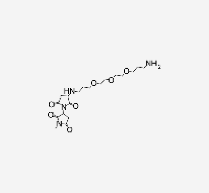 CN1C(=O)CC(N2C(=O)CC(NCCCOCCOCCOCCCN)C2=O)C1=O